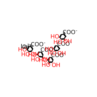 O=C([O-])c1cc(O)c(O)c(O)c1.O=C([O-])c1cc(O)c(O)c(O)c1.O=C([O-])c1cc(O)c(O)c(O)c1.O=C([O-])c1cc(O)c(O)c(O)c1.O=C([O-])c1cc(O)c(O)c(O)c1.[Ca+2].[La+3]